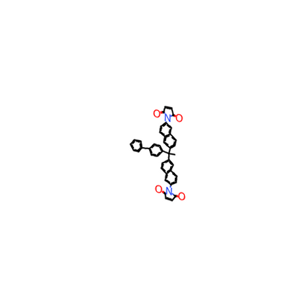 CC(c1ccc(-c2ccccc2)cc1)(c1ccc2cc(N3C(=O)C=CC3=O)ccc2c1)c1ccc2cc(N3C(=O)C=CC3=O)ccc2c1